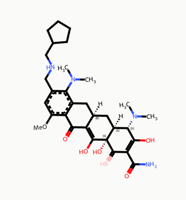 B=C1C(C(N)=O)=C(O)[C@@H](N(C)C)[C@@H]2C[C@@H]3Cc4c(c(OC)cc(CNCC5CCCC5)c4N(C)C)C(=O)C3=C(O)[C@]12O